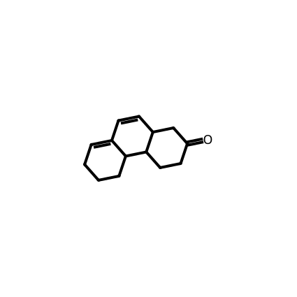 O=C1CCC2C(C=CC3=CCCCC32)C1